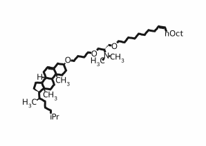 CCCCCCCC/C=C\CCCCCCCCOC[C@@H](COCCCCO[C@H]1CC[C@@]2(C)C(=CC[C@@H]3C2CC[C@@]2(C)C3CC[C@@H]2[C@H](C)CCCC(C)C)C1)N(C)C